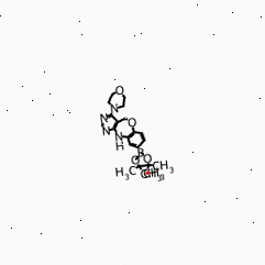 CC1(C)OB(c2ccc3c(c2)Nc2ncnc(N4CCOCC4)c2CO3)OC1(C)C